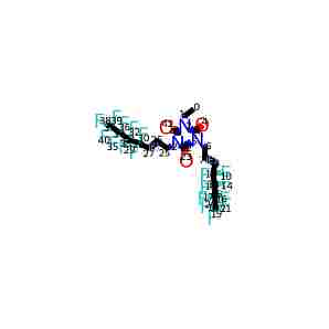 CCn1c(=O)n(C/C=C/C(F)(F)C(F)(F)C(F)(F)C(F)(F)F)c(=O)n(C/C=C/C(F)(F)C(F)(F)C(F)(F)C(F)(F)F)c1=O